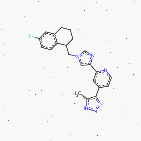 Cc1[nH]nnc1-c1ccnc(-c2cn(CC3CCCc4cc(F)ccc43)cn2)c1